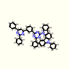 c1ccc(-c2cc(-c3cccc(-c4nc(-c5ccccc5)nc(-n5c6ccccc6c6ccc7c(c8ccccc8n7-c7ccccc7)c65)n4)c3)nc(-c3ccccc3)n2)cc1